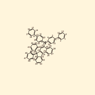 c1ccc(-c2ccc(N(c3ccc(-c4ccccc4)cc3)c3cc4c(c5ccccc35)-c3ccccc3C4(c3ccccc3)c3ccccc3)cc2)cc1